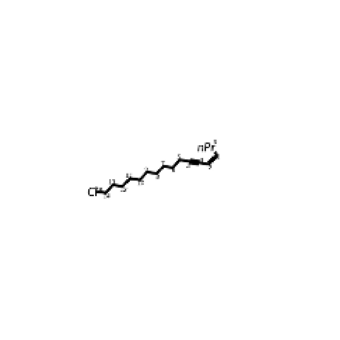 CCC/C=C\C#CCCCCCCCCCCCl